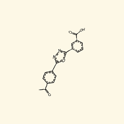 CC(=O)c1ccc(-c2nnc(-c3cccc(C(=O)O)c3)o2)cc1